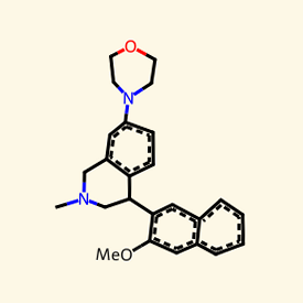 COc1cc2ccccc2cc1C1CN(C)Cc2cc(N3CCOCC3)ccc21